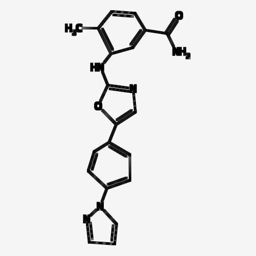 Cc1ccc(C(N)=O)cc1Nc1ncc(-c2ccc(-n3cccn3)cc2)o1